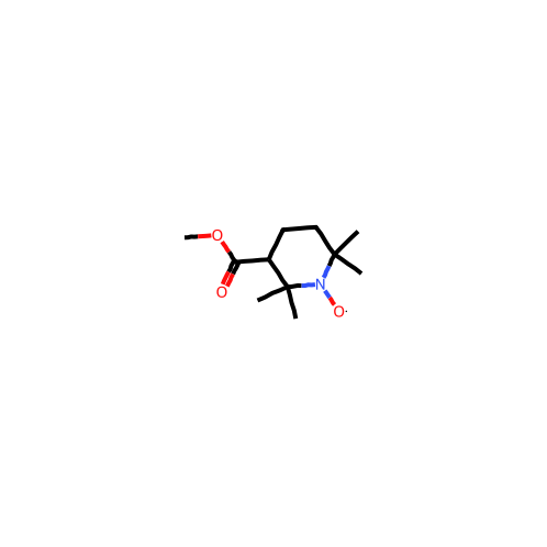 COC(=O)C1CCC(C)(C)N([O])C1(C)C